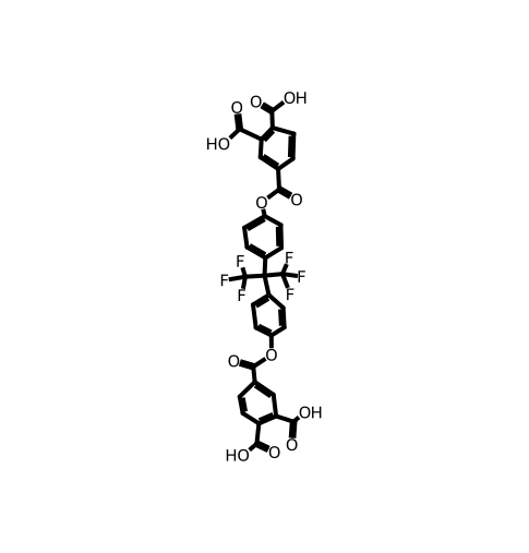 O=C(Oc1ccc(C(c2ccc(OC(=O)c3ccc(C(=O)O)c(C(=O)O)c3)cc2)(C(F)(F)F)C(F)(F)F)cc1)c1ccc(C(=O)O)c(C(=O)O)c1